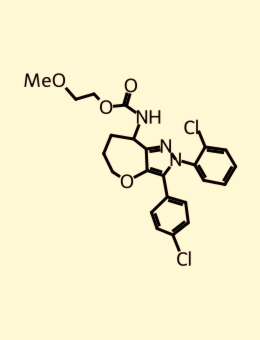 COCCOC(=O)NC1CCCOc2c1nn(-c1ccccc1Cl)c2-c1ccc(Cl)cc1